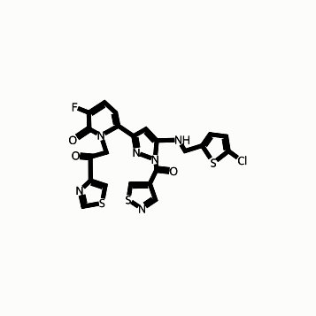 O=C(Cn1c(-c2cc(NCc3ccc(Cl)s3)n(C(=O)c3cnsc3)n2)ccc(F)c1=O)c1cscn1